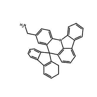 NCc1ccc2c(c1)C1(C3=C(C=CCC3)c3ccccc31)c1cccc3c4ccccc4n-2c13